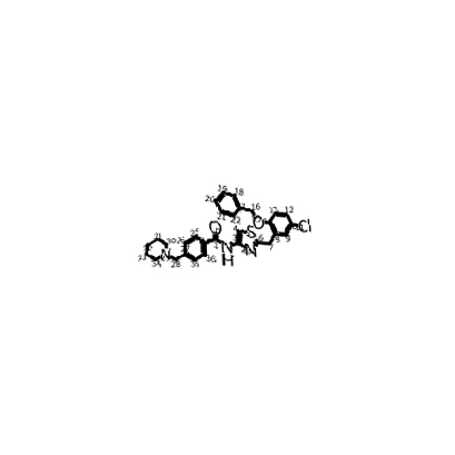 O=C(Nc1csc(Cc2cc(Cl)ccc2OCc2ccccc2)n1)c1ccc(CN2CCCCC2)cc1